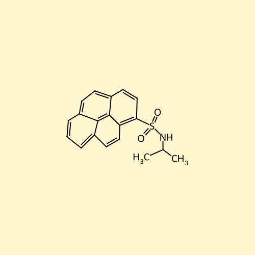 CC(C)NS(=O)(=O)c1ccc2ccc3cccc4ccc1c2c34